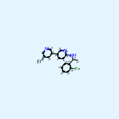 CCc1cncc(-c2ccc(NC(C)c3ccccc3F)nc2)c1